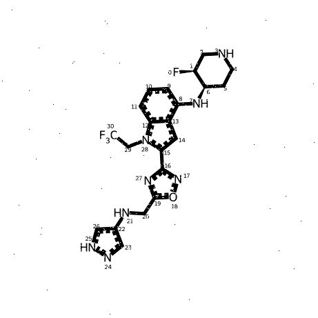 F[C@H]1CNCC[C@H]1Nc1cccc2c1cc(-c1noc(CNc3cn[nH]c3)n1)n2CC(F)(F)F